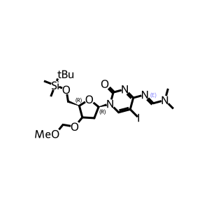 COCOC1C[C@H](n2cc(I)c(/N=C/N(C)C)nc2=O)O[C@@H]1CO[Si](C)(C)C(C)(C)C